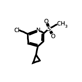 CS(=O)(=O)c1cc(C2CC2)cc(Cl)n1